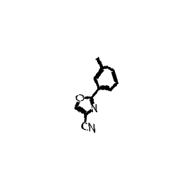 Cc1cccc(-c2nc(C#N)co2)c1